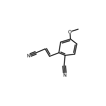 COc1ccc(C#N)c(C=CC#N)c1